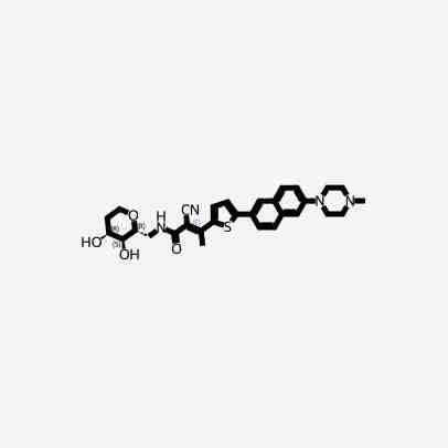 C/C(=C(/C#N)C(=O)NC[C@H]1OCC[C@@H](O)[C@@H]1O)c1ccc(-c2ccc3cc(N4CCN(C)CC4)ccc3c2)s1